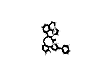 C=C1C2C(CCc3ccc(F)c(F)c3-c3ccc(-c4ccccc4)c[n+]31)c1cccc3c1C1N(C=CN21)CC3